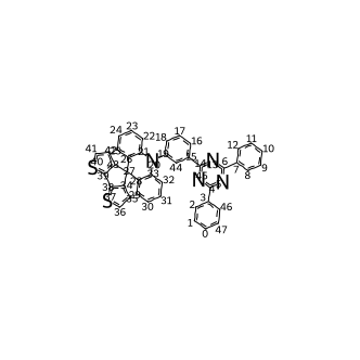 c1ccc(-c2nc(-c3ccccc3)nc(-c3cccc(N4c5ccccc5C5(c6ccccc64)c4ccsc4-c4sccc45)c3)n2)cc1